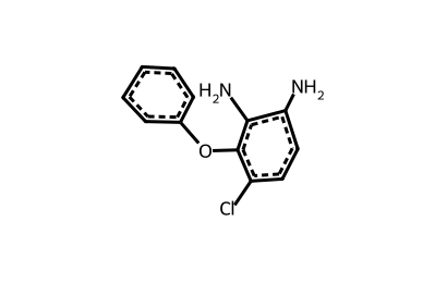 Nc1ccc(Cl)c(Oc2ccccc2)c1N